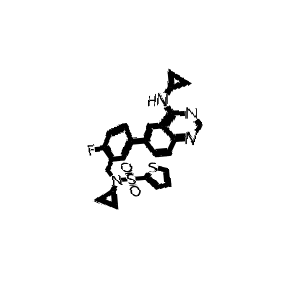 O=S(=O)(c1cccs1)N(Cc1cc(-c2ccc3ncnc(NC4CC4)c3c2)ccc1F)C1CC1